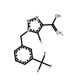 C=C(O)c1nnn(Cc2cccc(C(F)(F)F)c2)c1I